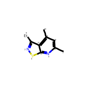 CCc1nsc2nc(C)cc(C)c12